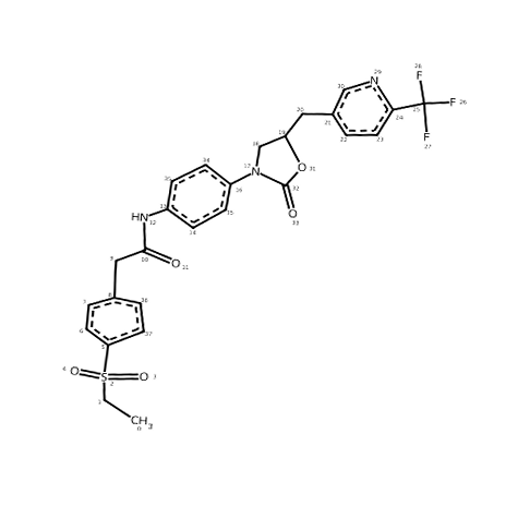 CCS(=O)(=O)c1ccc(CC(=O)Nc2ccc(N3CC(Cc4ccc(C(F)(F)F)nc4)OC3=O)cc2)cc1